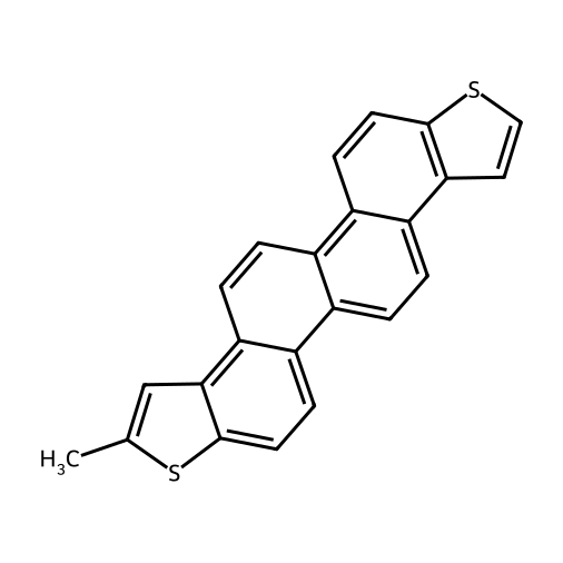 Cc1cc2c(ccc3c2ccc2c4ccc5sccc5c4ccc32)s1